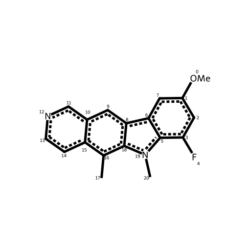 COc1cc(F)c2c(c1)c1cc3cnccc3c(C)c1n2C